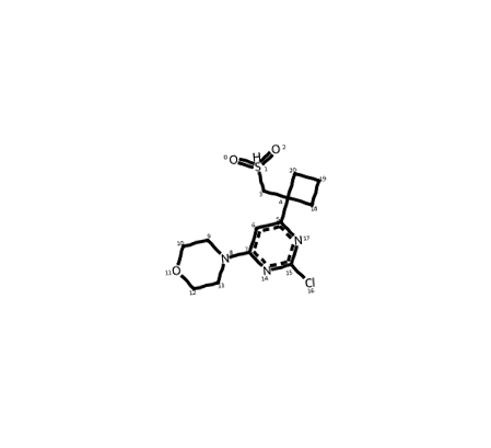 O=[SH](=O)CC1(c2cc(N3CCOCC3)nc(Cl)n2)CCC1